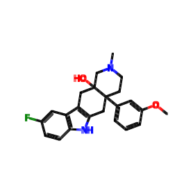 COc1cccc(C23CCN(C)CC2(O)Cc2c([nH]c4ccc(F)cc24)C3)c1